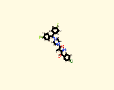 Cc1c(C(=O)c2ccc(Cl)cc2)noc1N1CCN(C(c2ccc(F)cc2)c2ccc(F)cc2)CC1